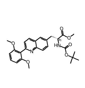 COC(=O)[C@@H](Cc1ccc2nc(-c3c(OC)cccc3OC)ccc2c1)NC(=O)OC(C)(C)C